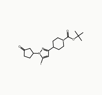 CC(C)(C)OC(=O)N1CCC(c2cc(I)n(C3CCC(=O)C3)n2)CC1